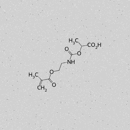 C=C(C)C(=O)OCCNC(=O)OC(C)C(=O)O